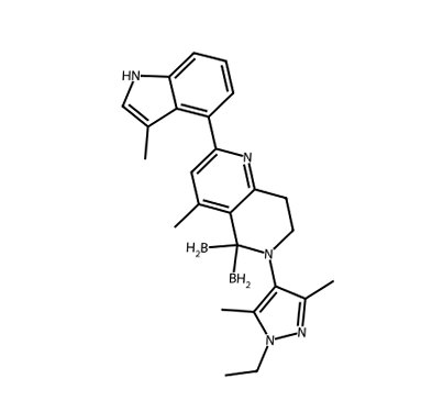 BC1(B)c2c(C)cc(-c3cccc4[nH]cc(C)c34)nc2CCN1c1c(C)nn(CC)c1C